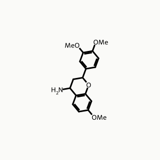 COc1ccc2c(c1)OC(c1ccc(OC)c(OC)c1)CC2N